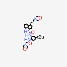 CC(C)(C)c1ccc(NC(=O)CN2CCOCC2)c(NC(=O)Nc2ccc(CCCN3CCOCC3)c3ccccc23)c1